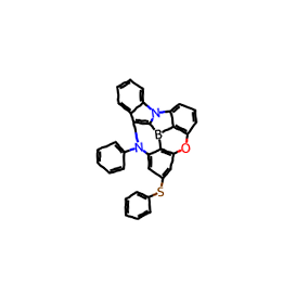 c1ccc(Sc2cc3c4c(c2)N(c2ccccc2)c2c5n(c6ccccc26)-c2cccc(c2B45)O3)cc1